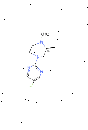 C[C@H]1CN(c2ncc(F)cn2)CCN1C=O